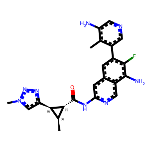 Cc1c(N)cncc1-c1cc2cc(NC(=O)[C@@H]3[C@@H](C)[C@H]3c3cn(C)nn3)ncc2c(N)c1F